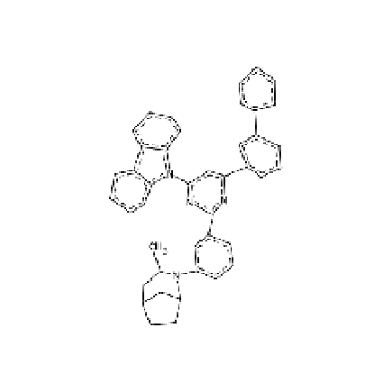 CC1CC2CCC(C2)N1c1cccc(-c2nc(-c3cccc(-c4ccccc4)c3)cc(-n3c4ccccc4c4ccccc43)n2)c1